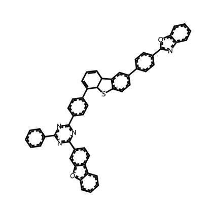 C1=CC2c3cc(-c4ccc(-c5nc6ccccc6o5)cc4)ccc3SC2C(c2ccc(-c3nc(-c4ccccc4)nc(-c4ccc5c(c4)oc4ccccc45)n3)cc2)=C1